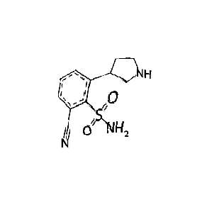 N#Cc1cccc(C2CCNC2)c1S(N)(=O)=O